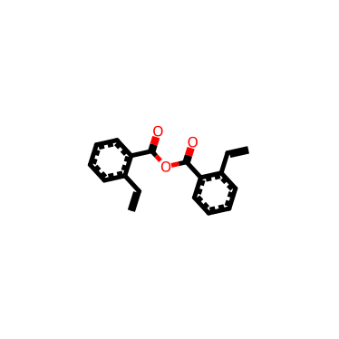 C=Cc1ccccc1C(=O)OC(=O)c1ccccc1C=C